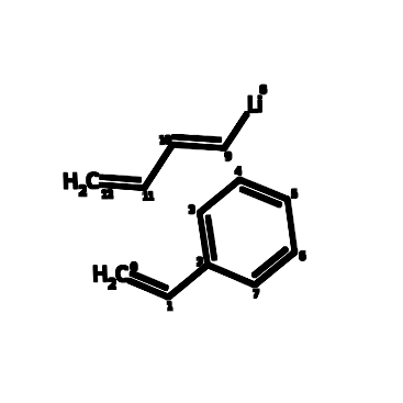 C=Cc1ccccc1.[Li][CH]=CC=C